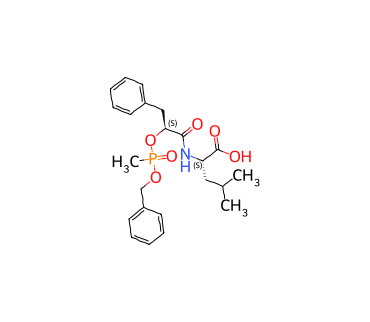 CC(C)C[C@H](NC(=O)[C@H](Cc1ccccc1)OP(C)(=O)OCc1ccccc1)C(=O)O